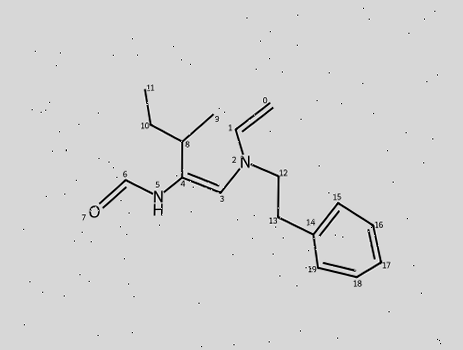 C=CN(/C=C(/NC=O)C(C)CC)CCc1ccccc1